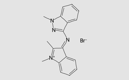 CC1=[N+](C)c2ccccc2/C1=N/c1nn(C)c2ccccc12.[Br-]